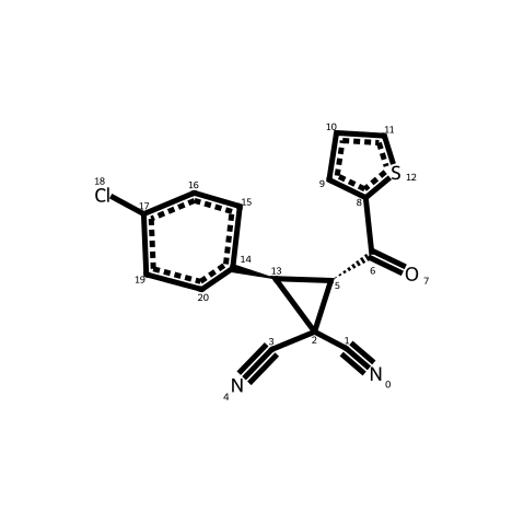 N#CC1(C#N)[C@@H](C(=O)c2cccs2)[C@@H]1c1ccc(Cl)cc1